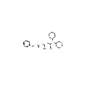 N#CC(C[C@H](NC(=O)OCc1ccccc1)C(=O)O)N(C1CCCCC1)C1CCCCC1